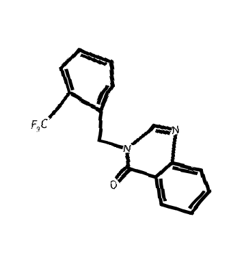 O=c1c2ccccc2ncn1Cc1ccccc1C(F)(F)F